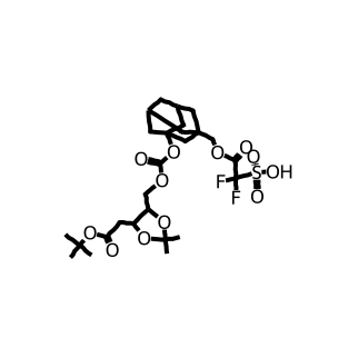 CC(C)(C)OC(=O)CC1OC(C)(C)OC1COC(=O)OC12CC3CC(CC(COC(=O)C(F)(F)S(=O)(=O)O)(C3)C1)C2